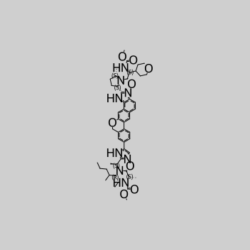 CCCC(C)[C@@H](CC)N(C(=O)[C@H](C)NC(=O)OC)[C@@H](C)c1ncc(-c2ccc3c(c2)COc2cc4c(ccc5nc([C@@H]6CC[C@H](C)N6C(=O)[C@@H](NC(=O)OC)C6CCOCC6)[nH]c54)cc2-3)[nH]1